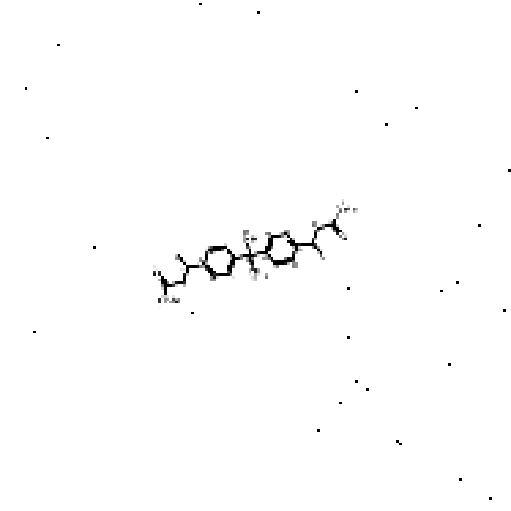 COC(=O)CC(C)c1ccc(C(N)(N)c2ccc(C(C)CC(=O)OC)cc2)cc1